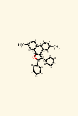 Cc1ccc2c3ccc(C)cc3c3c(-c4ccccc4)c(-c4ccccc4)oc3c2c1